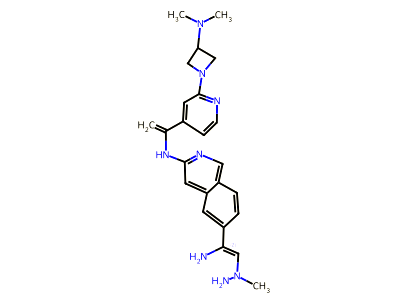 C=C(Nc1cc2cc(/C(N)=C/N(C)N)ccc2cn1)c1ccnc(N2CC(N(C)C)C2)c1